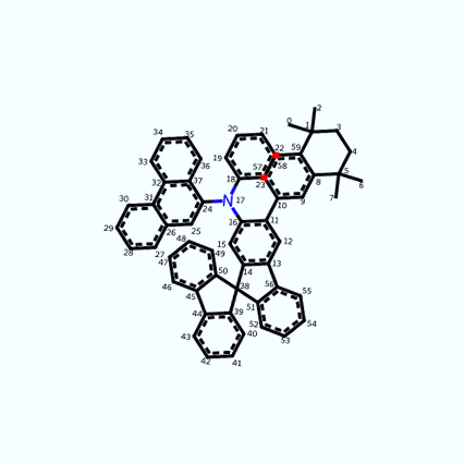 CC1(C)CCC(C)(C)c2cc(-c3cc4c(cc3N(c3ccccc3)c3cc5ccccc5c5ccccc35)C3(c5ccccc5-c5ccccc53)c3ccccc3-4)ccc21